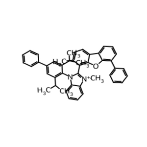 Cc1ccc2c(oc3c(-c4ccccc4)cccc32)c1-c1n(-c2c(C(C)C)cc(-c3ccccc3)cc2C(C)C)c2ccccc2[n+]1C